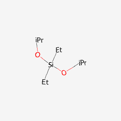 CC[Si](CC)(OC(C)C)OC(C)C